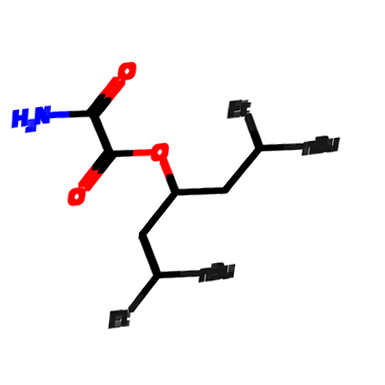 CCCCC(CC)CC(CC(CC)CCCC)OC(=O)C(N)=O